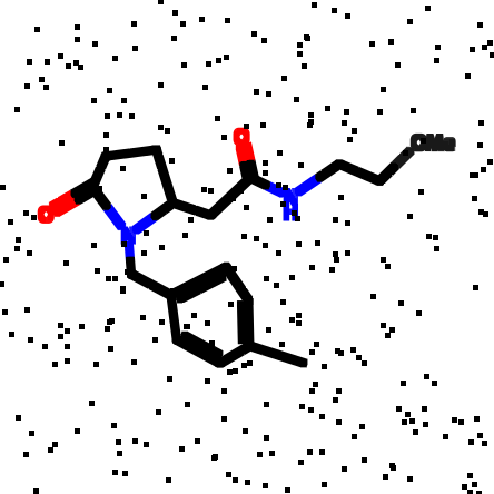 COCCNC(=O)CC1CCC(=O)N1Cc1ccc(C)cc1